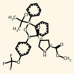 COC(=O)[C@@H]1C[C@@H](C(=O)N(O[Si](c2ccccc2)(c2ccccc2)C(C)(C)C)c2ccc(OC(F)(F)F)cc2)CN1